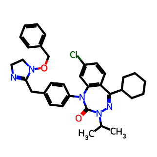 CC(C)N1N=C(C2CCCCC2)c2ccc(Cl)cc2N(c2ccc(CC3=NCCN3OCc3ccccc3)cc2)C1=O